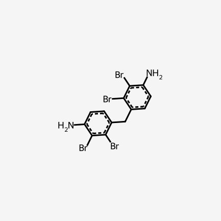 Nc1ccc(Cc2ccc(N)c(Br)c2Br)c(Br)c1Br